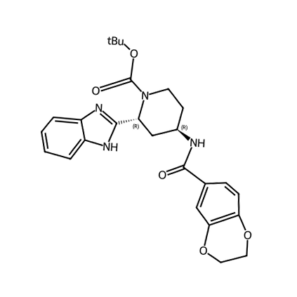 CC(C)(C)OC(=O)N1CC[C@@H](NC(=O)c2ccc3c(c2)OCCO3)C[C@@H]1c1nc2ccccc2[nH]1